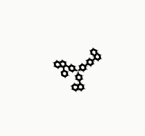 c1ccc(-c2c(-c3ccc(N(c4ccc(-c5ccc(-c6cccc7ccccc67)cc5)cc4)c4ccc(-c5cccc6ccccc56)cc4)cc3)ccc3ccccc23)cc1